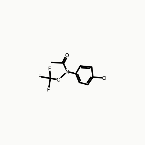 CC(=O)N(OC(F)(F)F)c1ccc(Cl)cc1